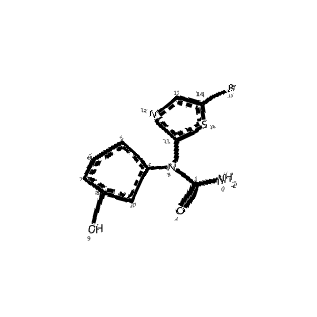 NC(=O)N(c1cccc(O)c1)c1ncc(Br)s1